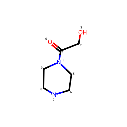 O=C(CO)N1CC[N]CC1